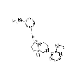 Nc1cccc(C#C[C@H]2CC[C@H]3CN(c4nccnc4N)CCN32)c1